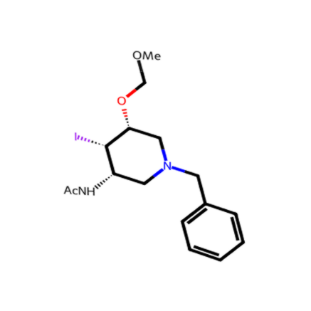 COCO[C@@H]1CN(Cc2ccccc2)C[C@H](NC(C)=O)[C@@H]1I